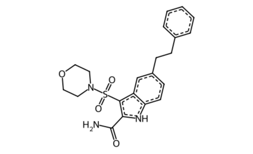 NC(=O)c1[nH]c2ccc(CCc3ccccc3)cc2c1S(=O)(=O)N1CCOCC1